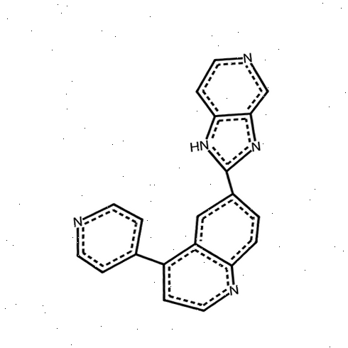 c1cc(-c2ccnc3ccc(-c4nc5cnccc5[nH]4)cc23)ccn1